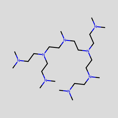 CN(C)CCN(C)CCN(CCN(C)C)CCN(C)CCN(CCN(C)C)CCN(C)C